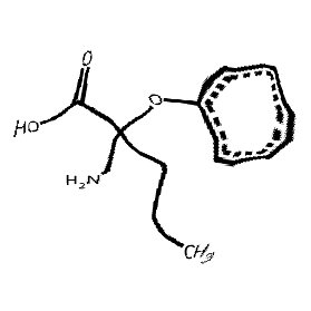 CCCC(N)(Oc1ccccc1)C(=O)O